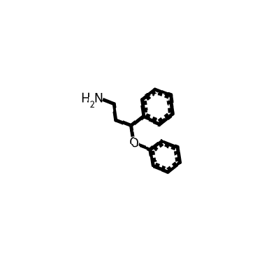 NCCC(Oc1ccccc1)c1ccccc1